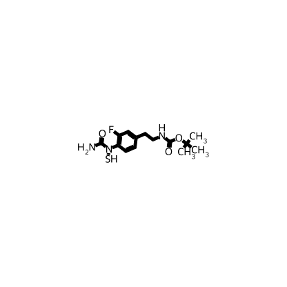 CC(C)(C)OC(=O)NCCc1ccc(N(S)C(N)=O)c(F)c1